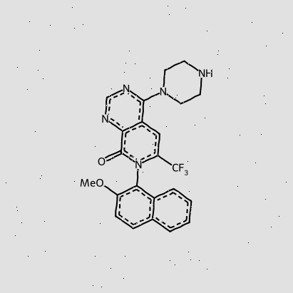 COc1ccc2ccccc2c1-n1c(C(F)(F)F)cc2c(N3CCNCC3)ncnc2c1=O